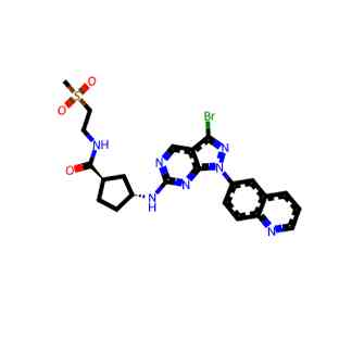 CS(=O)(=O)CCNC(=O)[C@@H]1CC[C@@H](Nc2ncc3c(Br)nn(-c4ccc5ncccc5c4)c3n2)C1